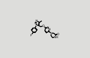 Cc1nnn(-c2ccc(F)cc2)c1COc1ccc(N2CCNC(=O)C2)nn1